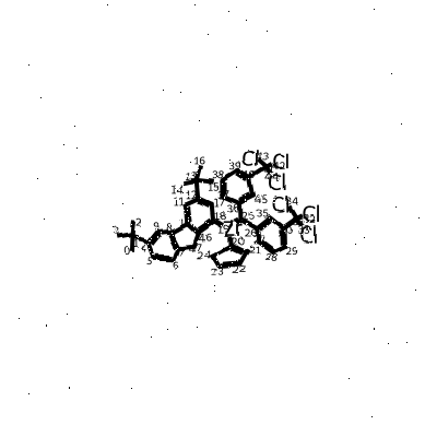 CC(C)(C)c1ccc2c(c1)-c1cc(C(C)(C)C)c[c]([Zr]([C]3=CC=CC3)=[C](c3cccc(C(Cl)(Cl)Cl)c3)c3cccc(C(Cl)(Cl)Cl)c3)c1C2